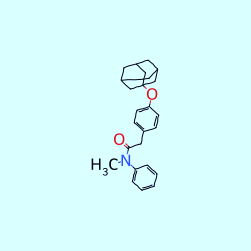 CN(C(=O)Cc1ccc(OC23CC4CC(CC(C4)C2)C3)cc1)c1ccccc1